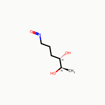 C[C@@H](O)[C@@H](O)CCCN=O